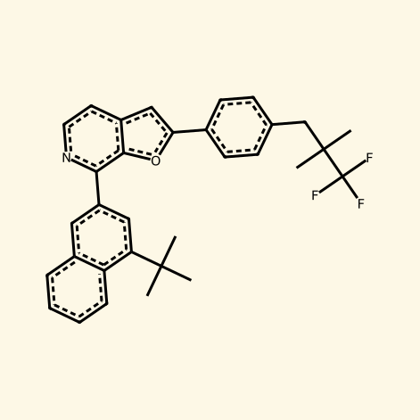 CC(C)(C)c1cc(-c2nccc3cc(-c4ccc(CC(C)(C)C(F)(F)F)cc4)oc23)cc2ccccc12